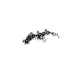 CCCCc1ccc(-c2ccc(-c3cc(F)c(C#Cc4cc(F)c5c(F)c(C(F)(F)Oc6cc(F)c(F)c(F)c6)c(F)cc5c4)c(C(C)(C)C)c3)c(F)c2)c(F)c1